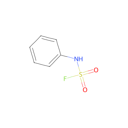 O=S(=O)(F)Nc1ccccc1